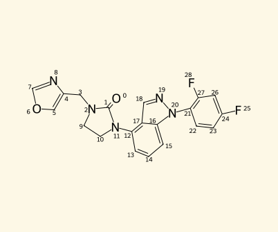 O=C1N(Cc2cocn2)CCN1c1cccc2c1cnn2-c1ccc(F)cc1F